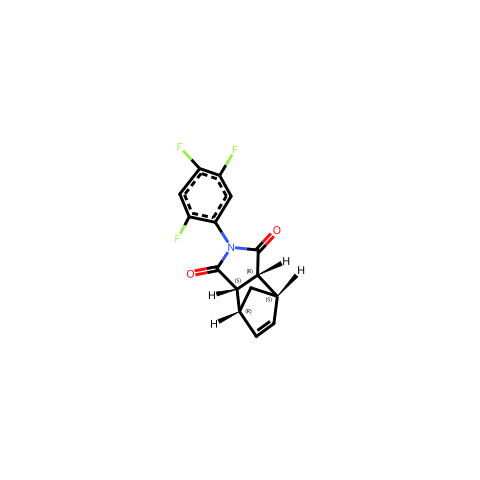 O=C1[C@@H]2[C@H](C(=O)N1c1cc(F)c(F)cc1F)[C@@H]1C=C[C@H]2C1